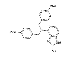 COc1ccc(CN(Cc2ccc(OC)cc2)c2nccc3[nH]c(S)nc23)cc1